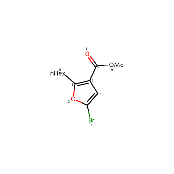 CCCCCCc1oc(Br)cc1C(=O)OC